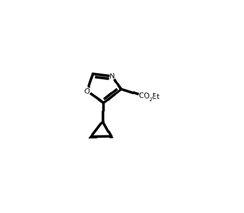 CCOC(=O)c1ncoc1C1CC1